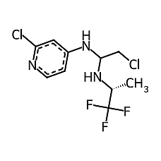 C[C@@H](NC(CCl)Nc1ccnc(Cl)c1)C(F)(F)F